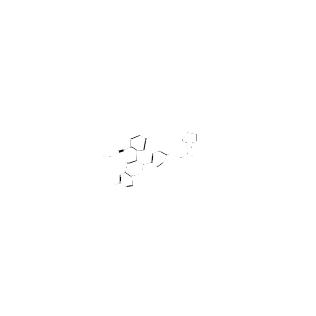 C#Cc1ccc(O)cc1C1=C(C)c2cc(O)ccc2OC1c1ccc(OC[C@H](C)N2CC[C@@H](C)C2)cc1